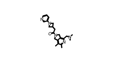 Cc1nc(CN(C)C)c2c(c1C)CN(C(=O)CC1CN(c3cccnc3)C1)C2